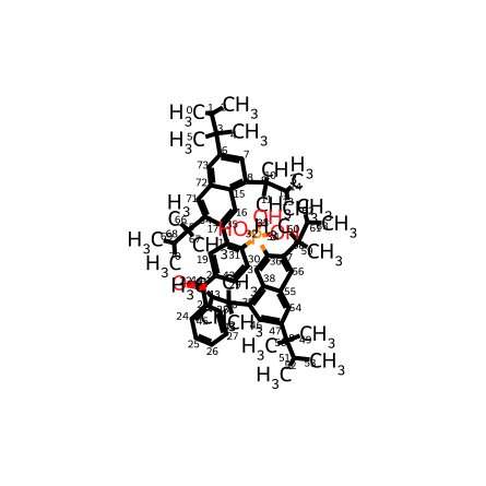 CC(C)C(C)(C)c1cc(C(C)(C)C(C)C)c2cc(-c3cc(C(=O)c4ccccc4)ccc3P(O)(O)(O)c3cc4c(C(C)(C)C(C)C)cc(C(C)(C)C(C)C)cc4cc3C(C)(C)C(C)C)c(C(C)(C)C(C)C)cc2c1